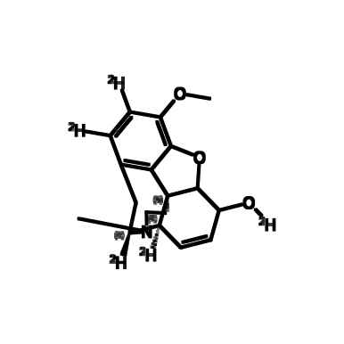 [2H]OC1C=C[C@]2([2H])[C@@]34CCN(C)[C@]2([2H])Cc2c([2H])c([2H])c(OC)c(c23)OC14